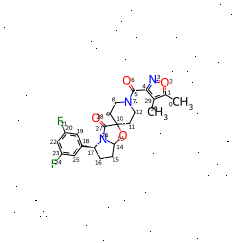 Cc1onc(C(=O)N2CCC3(CC2)OC2CC[C@@H](c4cc(F)cc(F)c4)N2C3=O)c1C